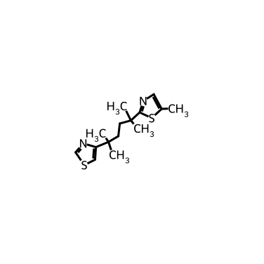 Cc1cnc(C(C)(C)CCC(C)(C)c2cscn2)s1